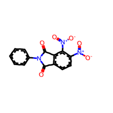 O=C1c2ccc([N+](=O)[O-])c([N+](=O)[O-])c2C(=O)N1c1ccccc1